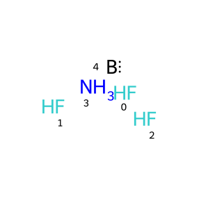 F.F.F.N.[B]